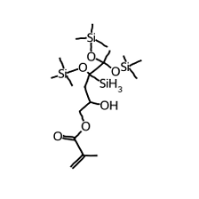 C=C(C)C(=O)OCC(O)CC([SiH3])(O[Si](C)(C)C)C(C)(O[Si](C)(C)C)O[Si](C)(C)C